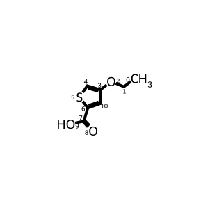 CCOc1csc(C(=O)O)c1